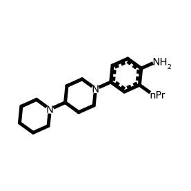 CCCc1cc(N2CCC(N3CCCCC3)CC2)ccc1N